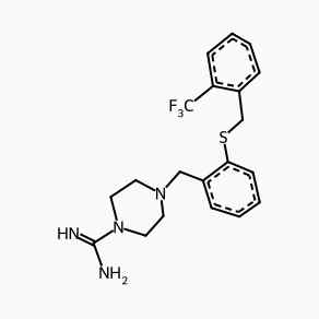 N=C(N)N1CCN(Cc2ccccc2SCc2ccccc2C(F)(F)F)CC1